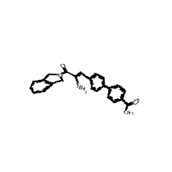 NC(Cc1ccc(-c2ccc(C(=O)O)cc2)cc1)C(=O)N1Cc2ccccc2C1